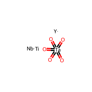 [Nb].[O]=[Ta](=[O])(=[O])(=[O])=[O].[Ti].[Y]